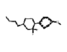 CCCCC1CCC(c2ccc(OC)cc2)C(F)(F)C1